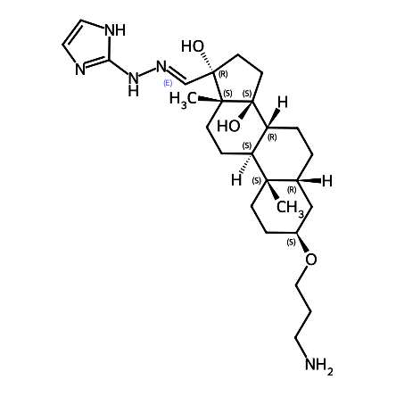 C[C@]12CC[C@H](OCCCN)C[C@H]1CC[C@@H]1[C@@H]2CC[C@]2(C)[C@@](O)(/C=N/Nc3ncc[nH]3)CC[C@]12O